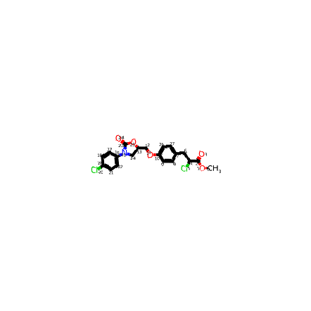 COC(=O)C(Cl)Cc1ccc(OCC2CN(c3ccc(Cl)cc3)C(=O)O2)cc1